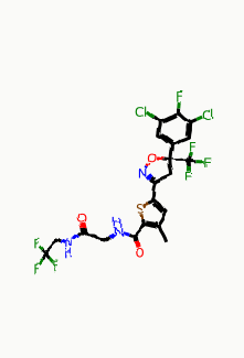 Cc1cc(C2=NO[C@@](c3cc(Cl)c(F)c(Cl)c3)(C(F)(F)F)C2)sc1C(=O)NCC(=O)NCC(F)(F)F